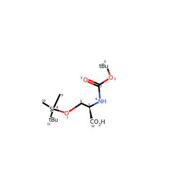 CC(C)(C)OC(=O)N[C@H](CO[Si](C)(C)C(C)(C)C)C(=O)O